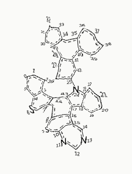 c1ccc2c(c1)sc1c3sc4ncncc4c3c3c4ccccc4n(-c4ccc5c6ccccc6c6ccccc6c5c4)c3c21